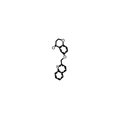 O=C1CCOc2ccc(OCc3ccc4ccccc4n3)cc21